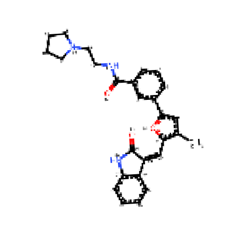 Cc1cc(-c2cccc(C(=O)NCCN3CCCC3)c2)oc1/C=C1\C(=O)Nc2ccccc21